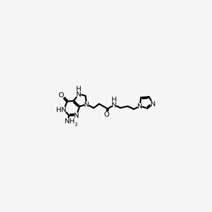 Nc1nc2c(c(=O)[nH]1)NCN2CCC(=O)NCCCn1ccnc1